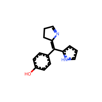 Oc1ccc(/C(=C2\CCC=N2)c2ccc[nH]2)cc1